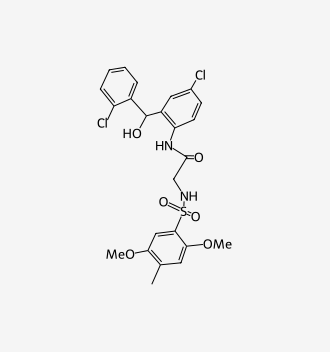 COc1cc(S(=O)(=O)NCC(=O)Nc2ccc(Cl)cc2C(O)c2ccccc2Cl)c(OC)cc1C